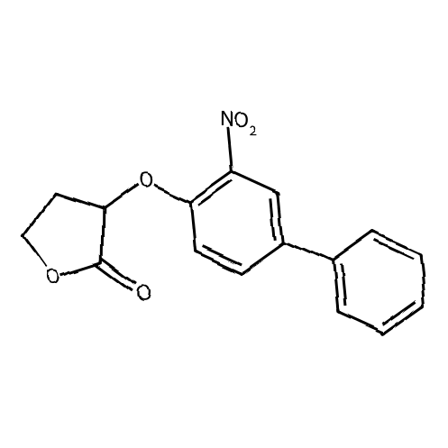 O=C1OCCC1Oc1ccc(-c2ccccc2)cc1[N+](=O)[O-]